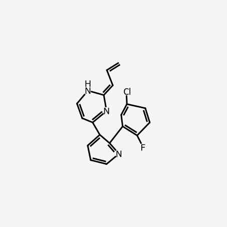 C=C/C=C1/N=C(c2cccnc2-c2cc(Cl)ccc2F)C=CN1